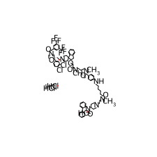 CN(CCN1CCC(N(C(=O)O)c2ccccc2-c2ccccc2)CC1)C(=O)CCCCCNc1ccc(C(=O)N(C)CCCN(C)C(=O)CO[C@H]2Cc3ccccc3C23CCN(CC[C@@]2(c4ccc(Cl)c(Cl)c4)CN(C(=O)c4cc(C(F)(F)F)cc(C(F)(F)F)c4)CCO2)CC3)cc1.Cl.Cl.Cl